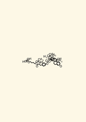 CC(=O)NC(Cc1ccc(OC(=O)OCC(=O)[C@@]23OC(C)(C)O[C@@H]2CC2C4CCC5=CC(=O)C=CC5(C)[C@@]4(F)[C@@H](O)C[C@@]23C)cc1)C(=O)OCCCCON(O)O